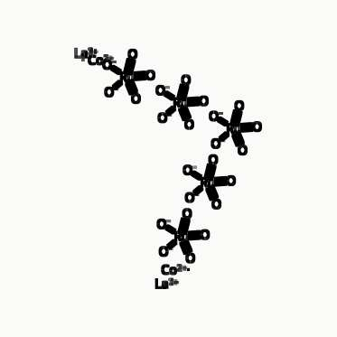 [Co+2].[Co+2].[La+3].[La+3].[O]=[Ru](=[O])(=[O])([O-])[O-].[O]=[Ru](=[O])(=[O])([O-])[O-].[O]=[Ru](=[O])(=[O])([O-])[O-].[O]=[Ru](=[O])(=[O])([O-])[O-].[O]=[Ru](=[O])(=[O])([O-])[O-]